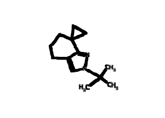 CC(C)(C)n1cc2c(n1)C1(CCC2)CC1